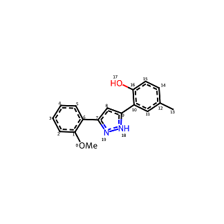 COc1ccccc1-c1cc(-c2cc(C)ccc2O)[nH]n1